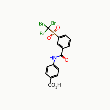 O=C(O)c1ccc(NC(=O)c2cccc(S(=O)(=O)C(Br)(Br)Br)c2)cc1